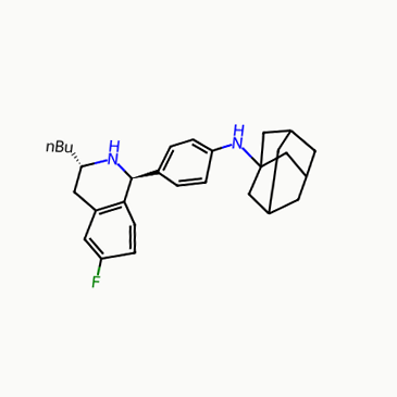 CCCC[C@H]1Cc2cc(F)ccc2[C@H](c2ccc(NC34CC5CC(CC(C5)C3)C4)cc2)N1